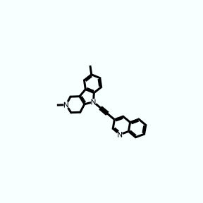 Cc1ccc2c(c1)c1c(n2C#Cc2cnc3ccccc3c2)CCN(C)C1